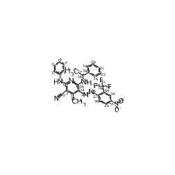 Cc1c(C#N)c(Nc2ccccc2)nc(NC(C)c2ccccc2)c1N=Nc1ccc([N+](=O)[O-])cc1C(F)(F)F